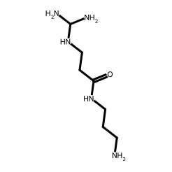 NCCCNC(=O)CCNC(N)N